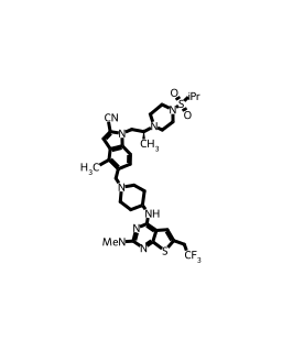 CNc1nc(NC2CCN(Cc3ccc4c(cc(C#N)n4C[C@H](C)N4CCN(S(=O)(=O)C(C)C)CC4)c3C)CC2)c2cc(CC(F)(F)F)sc2n1